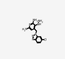 NNc1c(Cn2nnc3ccc(Cl)cc32)cc(N)nc1N